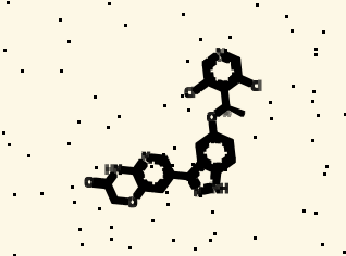 C[C@@H](Oc1ccc2[nH]nc(-c3cnc4c(c3)OCC(=O)N4)c2c1)c1c(Cl)cncc1Cl